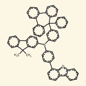 CC1(C)c2ccccc2-c2ccc(N(c3ccc(-c4cccc5c4oc4ccccc45)cc3)c3cccc(C4(c5ccccc5)c5ccccc5-c5ccccc5-c5ccccc54)c3)cc21